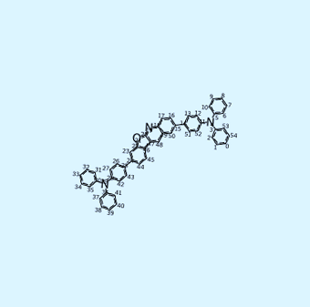 c1ccc(N(c2ccccc2)c2ccc(-c3ccc4nc5oc6cc(-c7ccc(N(c8ccccc8)c8ccccc8)cc7)ccc6c5cc4c3)cc2)cc1